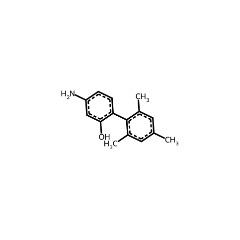 Cc1cc(C)c(-c2ccc(N)cc2O)c(C)c1